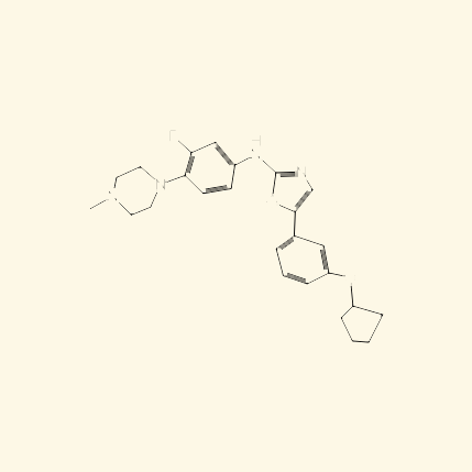 CN1CCN(c2ccc(Nc3ncc(-c4cccc(OC5CCCC5)c4)o3)cc2F)CC1